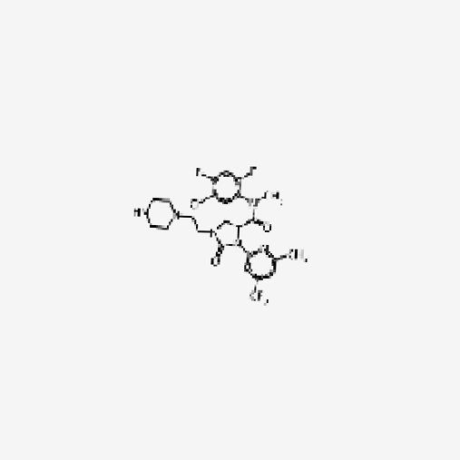 Cc1cc(C(F)(F)F)cc(N2C(=O)N(CCN3CCNCC3)CC2C(=O)N(C)c2cc(Cl)c(F)cc2F)n1